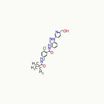 CC(C)(C)C(=O)NCc1ccc(Cl)c(C(=O)Nc2cccc3c2cnn3-c2ccc(CO)nc2)c1